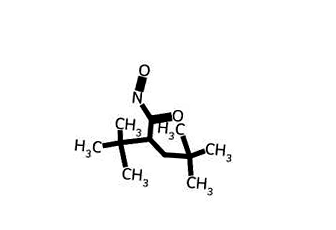 CC(C)(C)CC(C(=O)N=O)C(C)(C)C